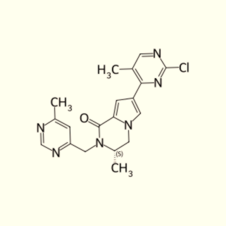 Cc1cc(CN2C(=O)c3cc(-c4nc(Cl)ncc4C)cn3C[C@@H]2C)ncn1